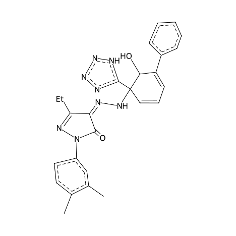 CCC1=NN(c2ccc(C)c(C)c2)C(=O)C1=NNC1(c2nnn[nH]2)C=CC=C(c2ccccc2)C1O